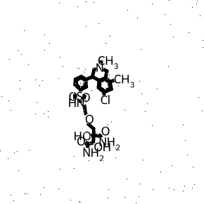 Cc1cc(Cl)cc2c1CN(C)CC2c1cccc(S(=O)(=O)NCCOCCC(O)(C(N)=O)C(O)C(N)=O)c1